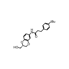 CC(C)(C)c1ccc(CCC(=O)Nc2ccc3c(c2)OC[C@@H](CO)O3)cc1